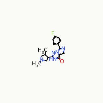 CC1CN(C)CC1c1nn2c(-c3ccc(F)cc3)ncc2c(=O)[nH]1